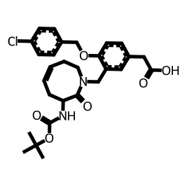 CC(C)(C)OC(=O)NC1CC=CCCN(Cc2cc(CC(=O)O)ccc2OCc2ccc(Cl)cc2)C1=O